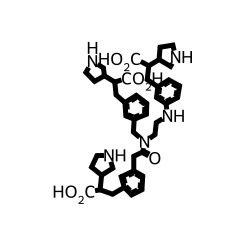 O=C(O)C(Cc1cccc(CC(=O)N(CCNc2cccc(CC(C(=O)O)C3CCNC3)c2)Cc2cccc(CC(C(=O)O)C3CCNC3)c2)c1)C1CCNC1